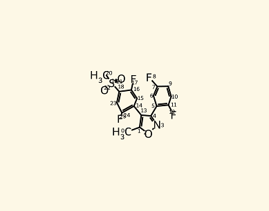 Cc1onc(-c2cc(F)ccc2F)c1-c1cc(F)c(S(C)(=O)=O)cc1F